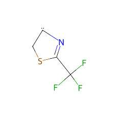 FC(F)(F)C1=N[C]CS1